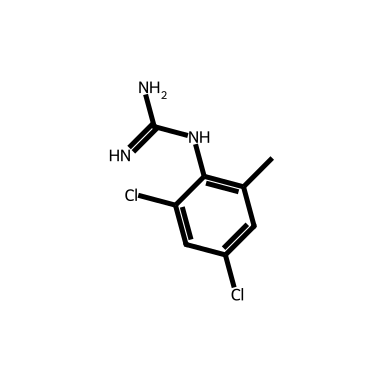 Cc1cc(Cl)cc(Cl)c1NC(=N)N